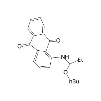 CCCCOC(CC)Nc1cccc2c1C(=O)c1ccccc1C2=O